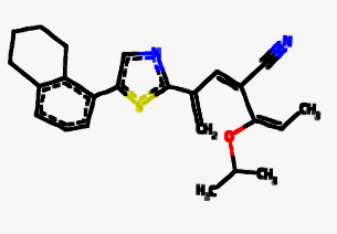 C=C(/C=C(C#N)\C(=C/C)OC(C)C)c1ncc(-c2cccc3c2CCCC3)s1